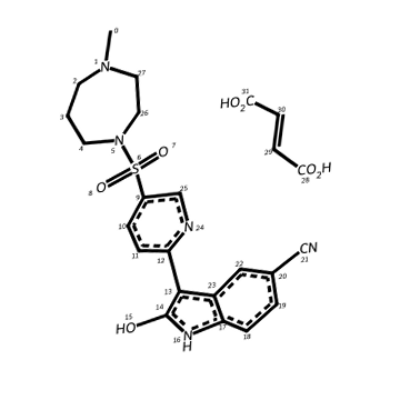 CN1CCCN(S(=O)(=O)c2ccc(-c3c(O)[nH]c4ccc(C#N)cc34)nc2)CC1.O=C(O)C=CC(=O)O